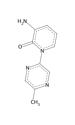 Cc1cnc(-n2cccc(N)c2=O)cn1